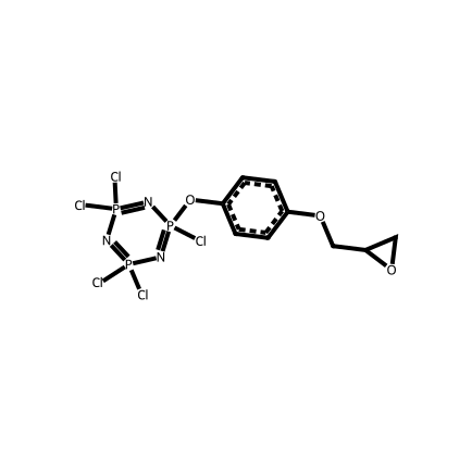 ClP1(Cl)=NP(Cl)(Cl)=NP(Cl)(Oc2ccc(OCC3CO3)cc2)=N1